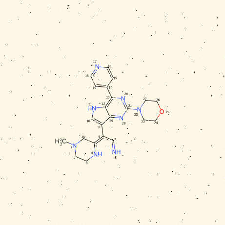 CN1CCN/C(=C(\C=N)c2c[nH]c3c(-c4ccncc4)nc(N4CCOCC4)nc23)C1